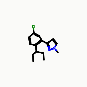 CCC(CC)c1ccc(Cl)cc1-c1ccn(C)n1